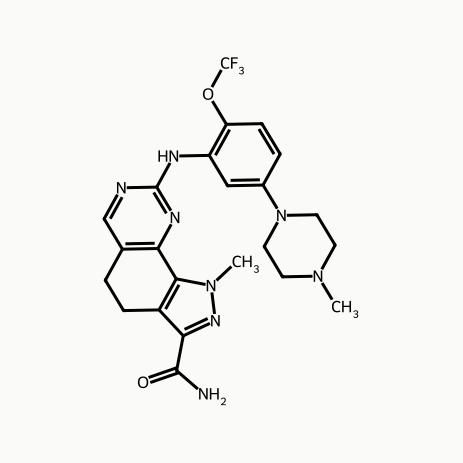 CN1CCN(c2ccc(OC(F)(F)F)c(Nc3ncc4c(n3)-c3c(c(C(N)=O)nn3C)CC4)c2)CC1